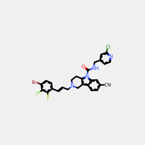 N#Cc1ccc2c3c(n(C(=O)NCc4ccnc(Cl)c4)c2c1)CCN(C/C=C/c1ccc(Br)c(F)c1F)C3